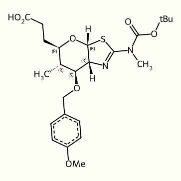 COc1ccc(CO[C@H]2[C@H](C)[C@@H](CCC(=O)O)O[C@@H]3SC(N(C)C(=O)OC(C)(C)C)=N[C@H]23)cc1